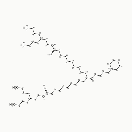 CCCCC(CCCC)CCOC(=O)CCCCCCCCCC(CCCCCCCCCC(=O)OCCC(CCCC)CCCC)OCCCCN1CCCCC1